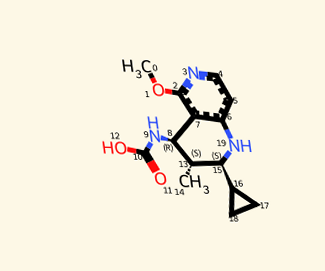 COc1nccc2c1[C@H](NC(=O)O)[C@@H](C)[C@H](C1CC1)N2